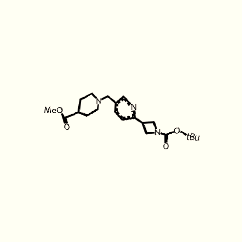 COC(=O)C1CCN(Cc2ccc(C3CN(C(=O)OC(C)(C)C)C3)nc2)CC1